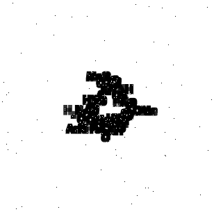 COc1ccc(NC(=O)CNC(=O)c2cc(NC(=O)CNC(=O)c3cc(NC(=O)CNC(=O)c4cc(NC(C)=O)ccc4OC)ccc3OC)ccc2OC)cc1C(N)=O